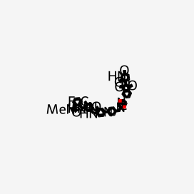 CNC(=O)c1ccccc1Nc1cc(Nc2ccc(N3CCC(CN4CC5CCC4CN5c4ccc5c(c4)C(=O)N(C4CCC(=O)NC4=O)C5=O)CC3)cc2OC)ncc1C(F)(F)F